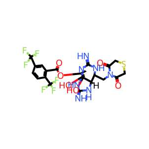 N=C1N[C@H]2C(CN3C(=O)CSCC3=O)NC(=N)N3CC(OC(=O)c4cc(C(F)(F)F)ccc4C(F)(F)F)C(O)(O)[C@]23N1